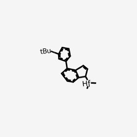 [CH3][Hf]([CH3])[CH]1C=Cc2c(-c3cccc(C(C)(C)C)c3)cccc21